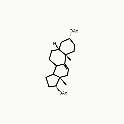 CC(=O)O[C@@H]1CC[C@]2(C)C3=CC[C@@]4(C)C(CC[C@@H]4OC(C)=O)C3CC[C@@H]2C1